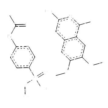 CC(=O)Nc1ccc([As](=O)(O)OO)cc1.COc1cc2cc(O)nc(C)c2cc1OC